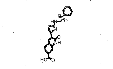 O=C(O)c1ccc2cc(-c3csc(NCS(=O)(=O)c4ccccc4)n3)c(=O)[nH]c2c1